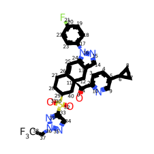 O=C(c1ccc(C2CC2)cn1)[C@]12Cc3cnn(-c4ccc(F)cc4)c3C=C1CC[C@H](S(=O)(=O)c1cnn(CC(F)(F)F)n1)C2